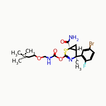 C[C@]1(c2cc(Br)ccc2F)N=C(OC(=O)NCOCC[Si](C)(C)C)S[C@@]2(C(N)=O)C[C@H]21